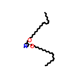 CCCCC/C=C\C/C=C\CCCCCCCCCCOCC1CN(C)C[C@H]1COCCCCCCCCCC/C=C\C/C=C\CCCCC